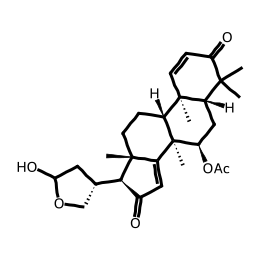 CC(=O)O[C@@H]1C[C@H]2C(C)(C)C(=O)C=C[C@]2(C)[C@H]2CC[C@]3(C)C(=CC(=O)[C@H]3[C@@H]3COC(O)C3)[C@@]21C